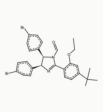 CCOc1cc(C(C)(C)C)ccc1C1=N[C@@H](c2ccc(Br)cc2)[C@@H](c2ccc(Br)cc2)N1C=O